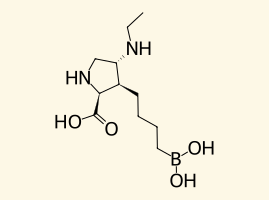 CCN[C@H]1CN[C@H](C(=O)O)[C@@H]1CCCCB(O)O